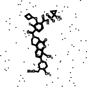 COC[C@H]1CN(c2ccc3c4c(c(=O)oc3c2C)CN(C(=O)c2ccc(C(=O)NS(=O)(=O)C3(C)CC3)c(OC3CCC3)c2F)CC4)CCN1C